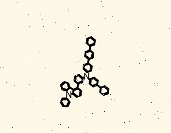 C1=CCC(c2ccc(N(c3ccc(-c4ccc(-c5ccccc5)cc4)cc3)c3cccc(-c4cccc5c4c4ccccc4n5-c4ccccc4)c3)cc2)C=C1